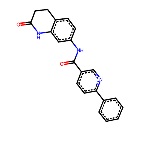 O=C1CCc2ccc(NC(=O)c3ccc(-c4ccccc4)nc3)cc2N1